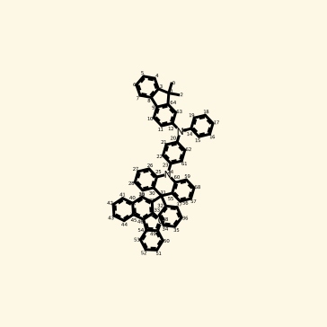 CC1(C)c2ccccc2-c2ccc(N(c3ccccc3)c3ccc(N4c5ccccc5C(c5ccccc5)(c5cc6ccccc6c6c5oc5ccccc56)c5ccccc54)cc3)cc21